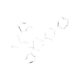 N[C@H](Cc1cc(C(F)(F)F)cc(C(F)(F)F)c1)NCC1(c2ccccc2)CCC(N2CCC(c3ccc(F)cc3)CC2)CC1